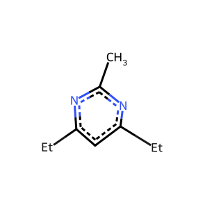 CCc1cc(CC)nc(C)n1